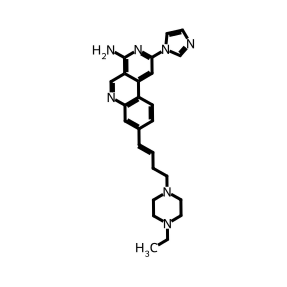 CCN1CCN(CC/C=C/c2ccc3c(c2)ncc2c(N)nc(-n4ccnc4)cc23)CC1